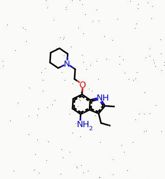 CCc1c(C)[nH]c2c(OCCN3CCCCC3)ccc(N)c12